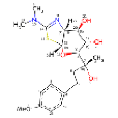 COc1ccc(CC[C@@](C)(O)[C@H]2O[C@@H]3SC(N(C)C)=N[C@@H]3[C@@H](O)[C@@H]2O)cc1